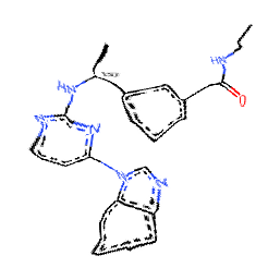 CCNC(=O)c1cccc([C@H](C)Nc2nccc(-n3cnc4ccccc43)n2)c1